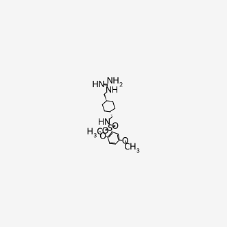 COc1ccc(OC)c(S(=O)(=O)NC[C@H]2CC[C@H](CNC(=N)N)CC2)c1